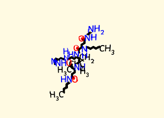 C=C(C)C(CCC(=O)NCCCCCC)NCC(C)C(=C)C(CCC(=O)NCCc1cnc[nH]1)NCC(=O)C(CCC(=O)NCCN)NCCCCCC